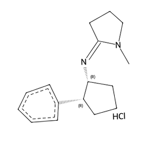 CN1CCCC1=N[C@@H]1CCC[C@@H]1c1ccccc1.Cl